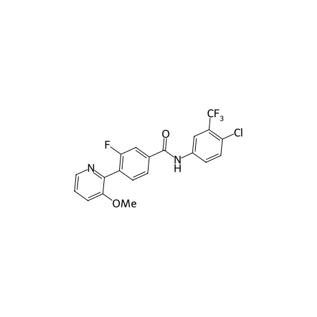 COc1cccnc1-c1ccc(C(=O)Nc2ccc(Cl)c(C(F)(F)F)c2)cc1F